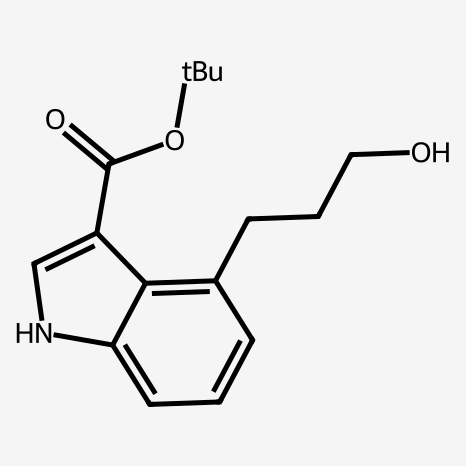 CC(C)(C)OC(=O)c1c[nH]c2cccc(CCCO)c12